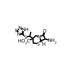 CC(Sc1nnn[nH]1)C1(C(=O)O)CS[C@@H]2C(N)C(=O)N2C1